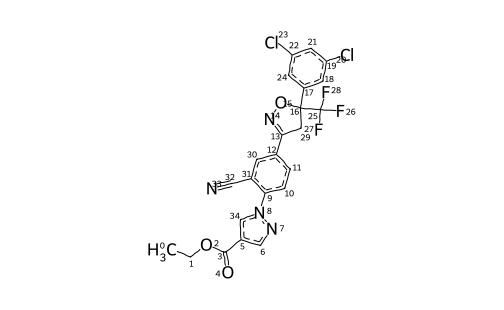 CCOC(=O)c1cnn(-c2ccc(C3=NOC(c4cc(Cl)cc(Cl)c4)(C(F)(F)F)C3)cc2C#N)c1